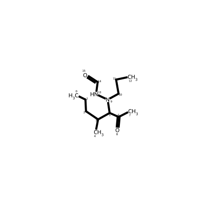 CCCC(C)C(C(C)=O)N(CCC)NC=O